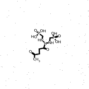 CC(=O)CCC(=O)N(NCP(=O)(O)O)NCP(=O)(O)O